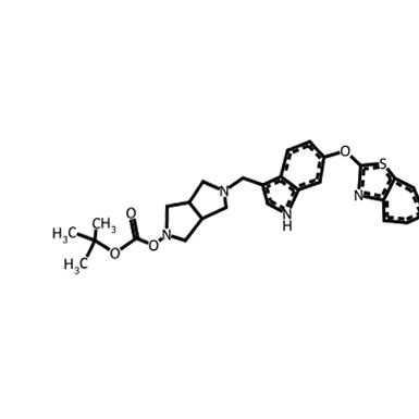 CC(C)(C)OC(=O)ON1CC2CN(Cc3c[nH]c4cc(Oc5nc6ccccc6s5)ccc34)CC2C1